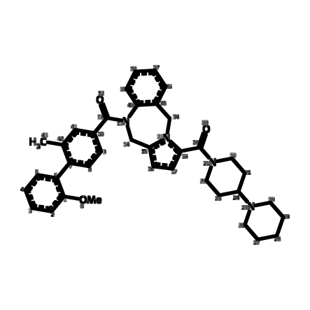 COc1ccccc1-c1ccc(C(=O)N2Cc3ccc(C(=O)N4CCC(N5CCCCC5)CC4)n3Cc3ccccc32)cc1C